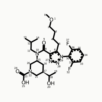 COCCCCc1c(C(=O)N(CC(C)C)[C@H]2C[C@@H](C(C)O)CN(C(=O)O)C2)nnn1-c1c(F)cccc1F